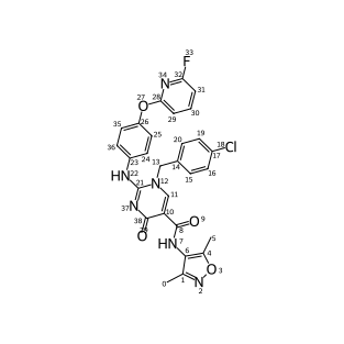 Cc1noc(C)c1NC(=O)c1cn(Cc2ccc(Cl)cc2)c(Nc2ccc(Oc3cccc(F)n3)cc2)nc1=O